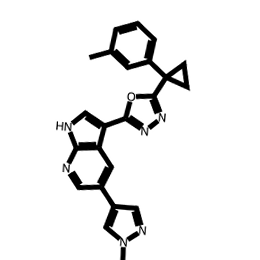 Cc1cccc(C2(c3nnc(-c4c[nH]c5ncc(-c6cnn(C)c6)cc45)o3)CC2)c1